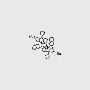 CC(C)(C)c1cc(N(c2ccccc2)c2ccccc2)c2c(c1)c1c3ccccc3cc3c4nc5c(cc4n2c31)c1c2ccccc2cc2c3cc(C(C)(C)C)cc(N(c4ccccc4)c4ccccc4)c3n5c21